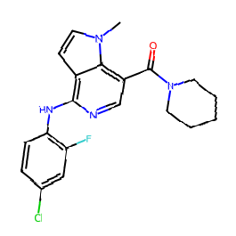 Cn1ccc2c(Nc3ccc(Cl)cc3F)ncc(C(=O)N3CCCCC3)c21